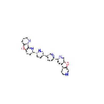 c1cnc2c(c1)oc1ccc(-c3ccc(-c4ccc(-c5cc6c(cn5)oc5cnccc56)nc4)cn3)nc12